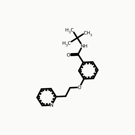 CC(C)(C)NC(=O)c1cccc(OCCc2ccccn2)c1